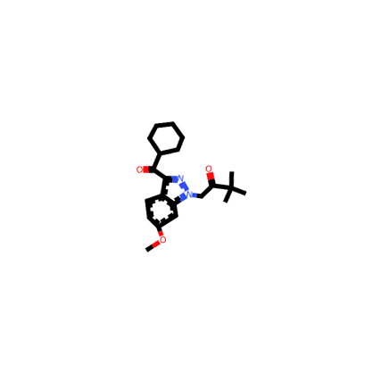 COc1ccc2c(C(=O)C3CCCCC3)nn(CC(=O)C(C)(C)C)c2c1